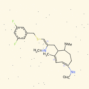 C=N/C(=C\SCc1cc(F)cc(F)c1)CC1/C(C)=C\C=C(/NC=O)CCC1NC